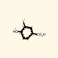 O=C(O)c1ccc(O)c(I)c1